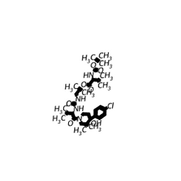 CC(C)[C@H](NC(=O)OC(C)(C)C)C(=O)OC(C)(C)CNC(=O)N[C@@H](C(=O)N1CC[C@](O)(c2ccc(Cl)cc2)C(C)(C)C1)C(C)C